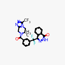 C[C@H]1Cn2c(nnc2C(F)(F)F)CN1C(=O)c1cccc(C(F)(F)c2n[nH]c(=O)c3ccccc23)c1